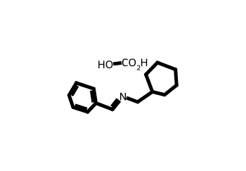 C(=NCC1CCCCC1)c1ccccc1.O=C(O)O